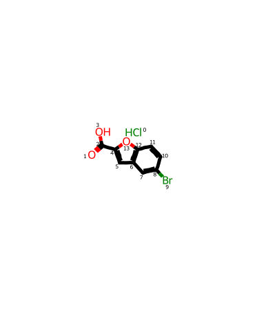 Cl.O=C(O)c1cc2cc(Br)ccc2o1